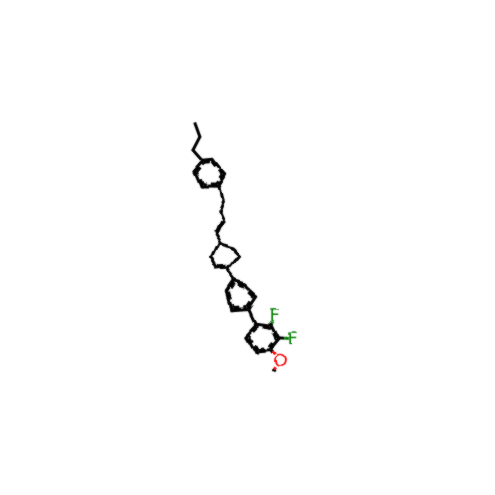 CCCc1ccc(CC/C=C/C2CC=C(c3ccc(-c4ccc(OC)c(F)c4F)cc3)CC2)cc1